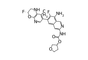 Cc1c(-c2cc3cc(NC(=O)O[C@H]4CCOC4)ncc3c(N)c2F)cnc2c1NC[C@@H](F)O2